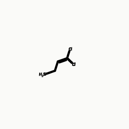 [SiH3]CC=C(Cl)Cl